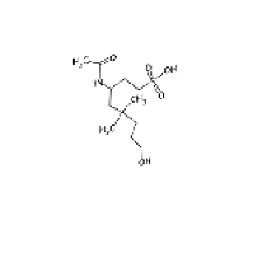 CC(=O)NC(CCS(=O)(=O)O)CC(C)(C)CCCO